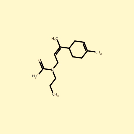 CCCN(C/C=C(/C)C1CC=C(C)CC1)C(C)=O